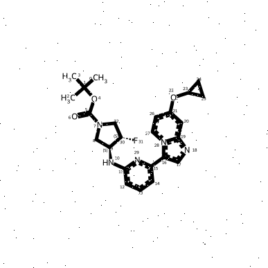 CC(C)(C)OC(=O)N1C[C@H](Nc2cccc(-c3cnc4cc(OC5CC5)ccn34)n2)[C@@H](F)C1